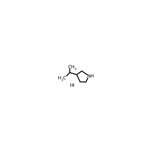 CC(C)C1CCNC1.I